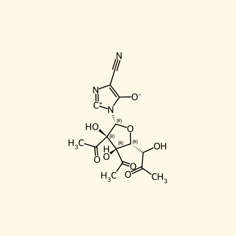 CC(=O)C(O)[C@H]1O[C@@H](N2[C+]=NC(C#N)=C2[O-])[C@@](O)(C(C)=O)[C@@]1(O)C(C)=O